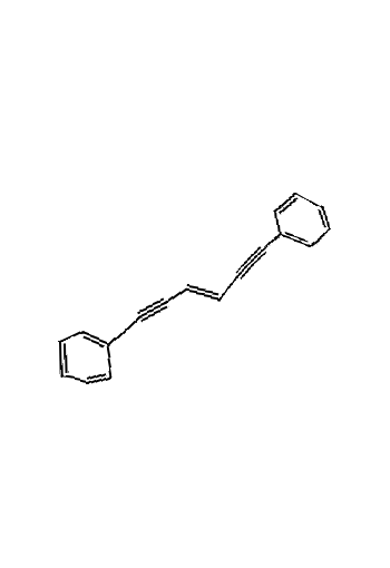 C(#Cc1ccccc1)C=CC#Cc1ccccc1